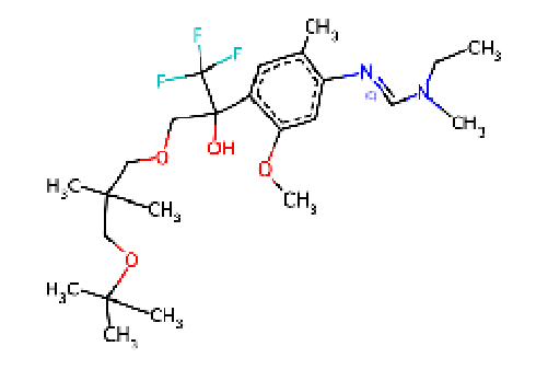 CCN(C)/C=N/c1cc(OC)c(C(O)(COCC(C)(C)COC(C)(C)C)C(F)(F)F)cc1C